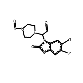 O=CC(N1CCN(N=O)CC1)n1c(=O)sc2cc(Br)c(Cl)cc21